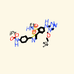 CCNS(=O)(=O)c1cc(Nc2nncn2COCC[Si](C)(C)C)ccc1-c1cnc(C2CCC(NC(=O)OC(C)C)CC2)s1